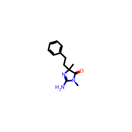 CN1C(=O)C(C)(CCc2ccccc2)N=C1N